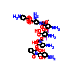 COc1cc(N)ccc1C(=O)O.Nc1c(I)cc(C(=O)O)c(O)c1I.Nc1ccc(C(=O)O)c(N)c1.Nc1ccc(C(=O)O)c([N+](=O)[O-])c1.Nc1ccc(C(=O)O)cc1.Nc1ccc(C(O)C(CO)N2C(=O)c3ccccc3C2=O)cc1